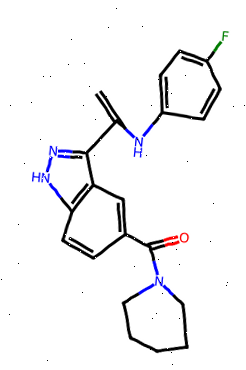 C=C(Nc1ccc(F)cc1)c1n[nH]c2ccc(C(=O)N3CCCCC3)cc12